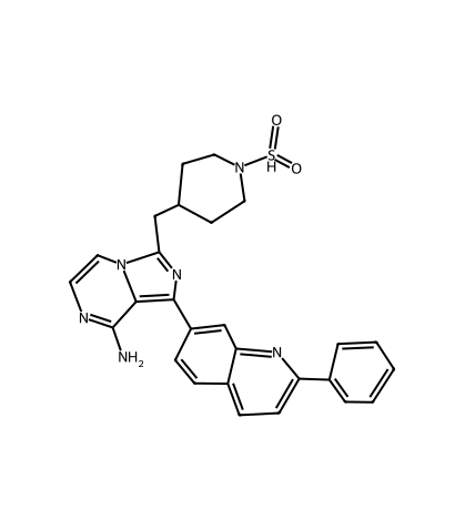 Nc1nccn2c(CC3CCN([SH](=O)=O)CC3)nc(-c3ccc4ccc(-c5ccccc5)nc4c3)c12